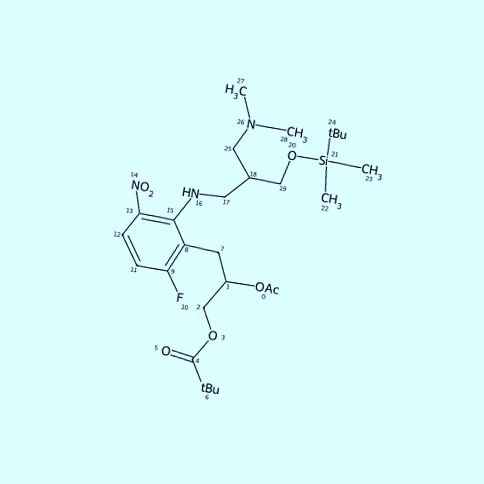 CC(=O)OC(COC(=O)C(C)(C)C)Cc1c(F)ccc([N+](=O)[O-])c1NCC(CO[Si](C)(C)C(C)(C)C)CN(C)C